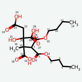 CCCCOC(=O)C(C(=O)OCCCC)C(C)(C(=O)O)C(O)(CC(=O)O)C(=O)O